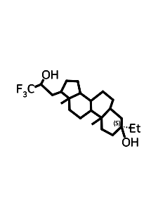 CC[C@]1(O)CCC2(C)C(CCC3C4CCC(CC(O)C(F)(F)F)C4(C)CCC32)C1